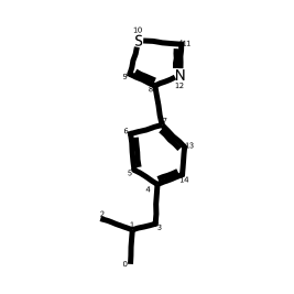 CC(C)Cc1ccc(-c2cs[c]n2)cc1